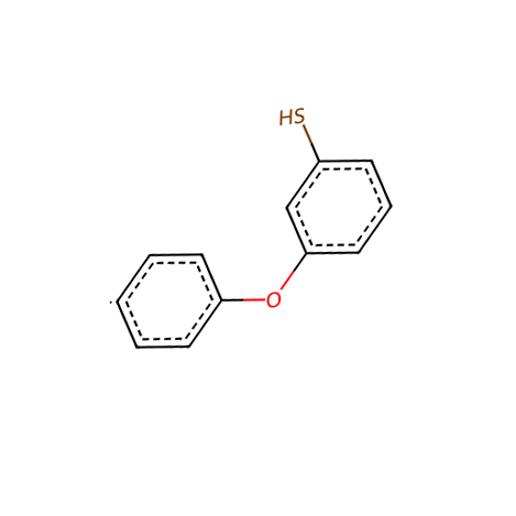 Sc1cccc(Oc2cc[c]cc2)c1